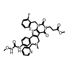 CONC(=O)Nc1ccc(-c2sc3c(c2CN(C)Cc2ccccn2)c(=O)n(CCC(=O)OC)c(=O)n3Cc2c(F)cccc2F)cc1